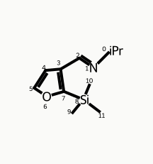 CC(C)/N=C/c1ccoc1[Si](C)(C)C